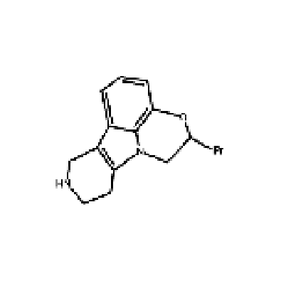 CC(C)C1Cn2c3c(c4cccc(c42)O1)CNCC3